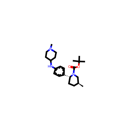 C[C@H]1CC[C@H](c2ccc(NC3CCN(C)CC3)cc2)N(C(=O)OC(C)(C)C)C1